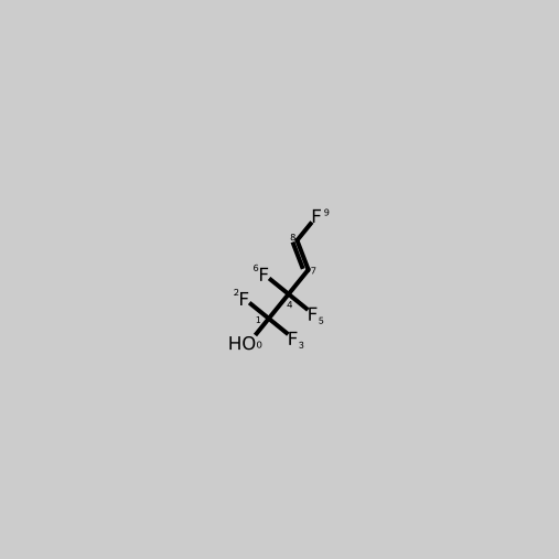 OC(F)(F)C(F)(F)C=CF